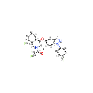 C[C@H]1[C@H](Oc2ccc3c(cnn3-c3ccc(F)cc3)c2)c2cccc(F)c2CN1C(=O)C(F)(F)F